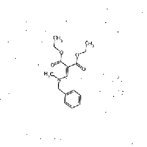 CCOC(=O)C(=CN(C)Cc1ccccc1)C(=O)OCC